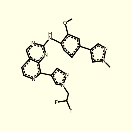 COc1cc(-c2cnn(C)c2)ccc1Nc1ncc2ccnc(-c3cnn(CC(F)F)c3)c2n1